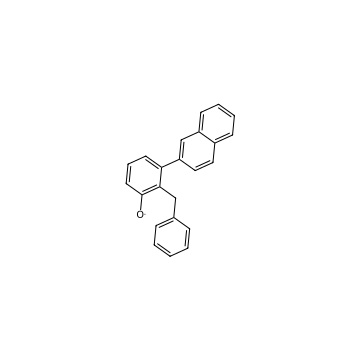 [O]c1cccc(-c2ccc3ccccc3c2)c1Cc1ccccc1